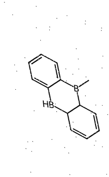 CB1c2ccccc2BC2C=CC=CC12